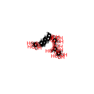 C=C1CC[C@]2(C(=O)O[C@@H]3O[C@H](CO[C@@H]4O[C@H](CO)[C@@H](O[C@@H]5O[C@@H](C)[C@H](O)[C@@H](O)[C@H]5O)[C@H](O)[C@H]4O)[C@@H](O)[C@H](O)[C@H]3O)CC[C@]3(C)C(=CC[C@H]4[C@H]3CC[C@H]3C(C)(C)[C@@H](O[C@@H]5OC[C@H](O)[C@H](O)[C@H]5O)CC[C@]43C)[C@@H]2C1